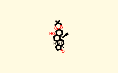 C#CC[C@]12CCC3(C[C@]1(O)CC[C@@H]1C2=CC[C@]2(C)C(=O)CC[C@@H]12)OCC(C)(C)CO3